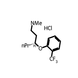 CCC[C@H](CCNC)Oc1ccccc1C(F)(F)F.Cl